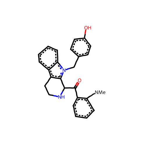 CNc1ccccc1C(=O)C1NCCc2c1n(Cc1ccc(O)cc1)c1ccccc21